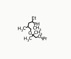 CCC(CC(C)COC(C)(C)COC(C)C)PC